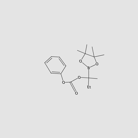 CCC(C)(OC(=O)Oc1ccccc1)B1OC(C)(C)C(C)(C)O1